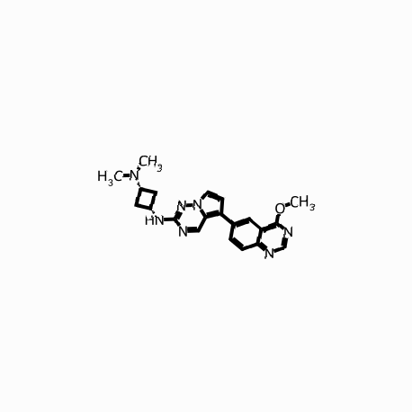 COc1ncnc2ccc(-c3ccn4nc(N[C@H]5C[C@@H](N(C)C)C5)ncc34)cc12